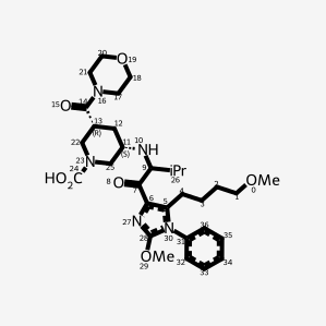 COCCCCc1c(C(=O)C(N[C@H]2C[C@@H](C(=O)N3CCOCC3)CN(C(=O)O)C2)C(C)C)nc(OC)n1-c1ccccc1